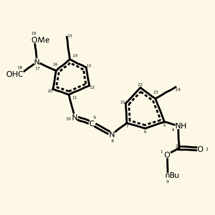 CCCCOC(=O)Nc1cc(N=C=Nc2ccc(C)c(N(C=O)OC)c2)ccc1C